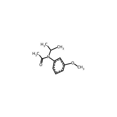 COc1cccc(N(C(C)=O)C(C)C)c1